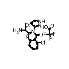 CCC(N)c1nc2cccc(Cl)c2c(=O)n1-c1cc[nH]n1.O=C(O)C(F)(F)F